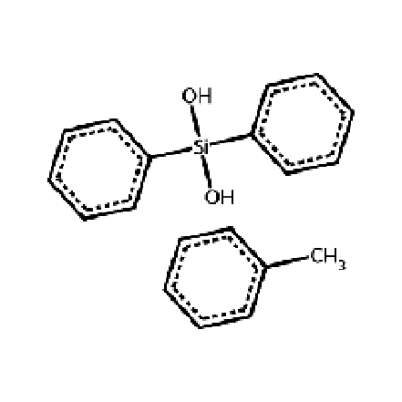 Cc1ccccc1.O[Si](O)(c1ccccc1)c1ccccc1